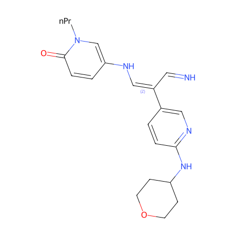 CCCn1cc(N/C=C(\C=N)c2ccc(NC3CCOCC3)nc2)ccc1=O